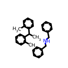 Cc1ccccc1C(C)c1ccccc1C.c1ccc(CNCc2ccccc2)cc1